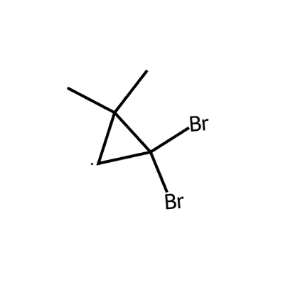 CC1(C)[CH]C1(Br)Br